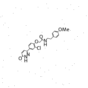 COc1ccc(CCNC(=O)COc2ccc(-c3ccc(=O)[nH]n3)cc2Cl)cc1